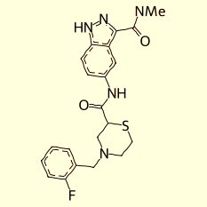 CNC(=O)c1n[nH]c2ccc(NC(=O)C3CN(Cc4ccccc4F)CCS3)cc12